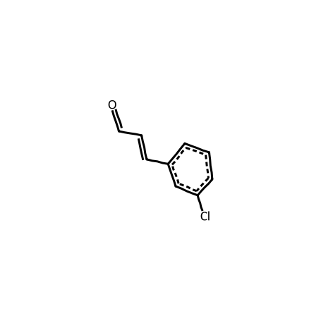 O=CC=Cc1cccc(Cl)c1